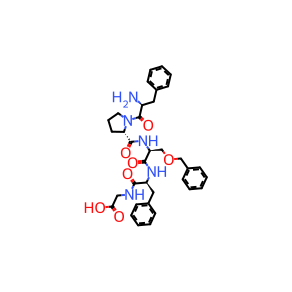 N[C@@H](Cc1ccccc1)C(=O)N1CCC[C@H]1C(=O)N[C@@H](COCc1ccccc1)C(=O)N[C@@H](Cc1ccccc1)C(=O)NCC(=O)O